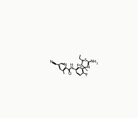 CC[C@H]1SC(N)=N[C@](C)(c2cc(NC(=O)c3ncc(C#N)cc3C)ccc2F)[C@H]1F